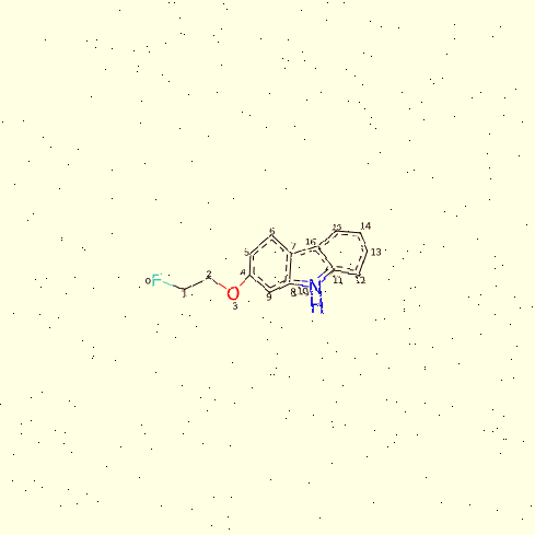 FCCOc1ccc2c(c1)[nH]c1ccccc12